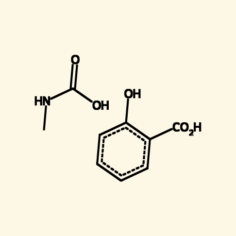 CNC(=O)O.O=C(O)c1ccccc1O